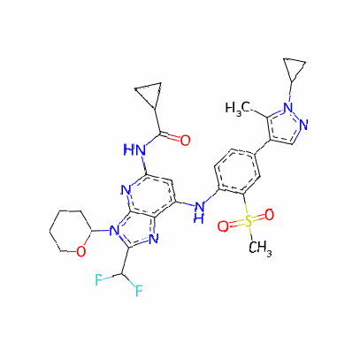 Cc1c(-c2ccc(Nc3cc(NC(=O)C4CC4)nc4c3nc(C(F)F)n4C3CCCCO3)c(S(C)(=O)=O)c2)cnn1C1CC1